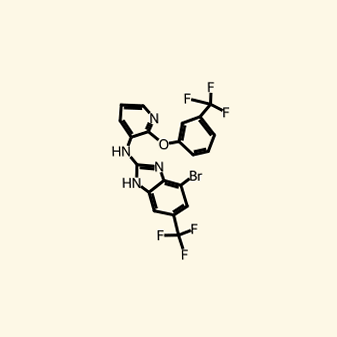 FC(F)(F)c1cccc(Oc2ncccc2Nc2nc3c(Br)cc(C(F)(F)F)cc3[nH]2)c1